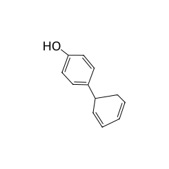 Oc1ccc(C2C=CC=CC2)cc1